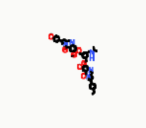 CCc1ccc(C2=CN3C(=O)c4cc(OC)c(OCc5cc(CNC(C)C)cc(COc6cc7c(cc6OC)C(=O)N6C=C(c8ccc(OC)cc8)CC6C=N7)c5)cc4N=CC3C2)cc1